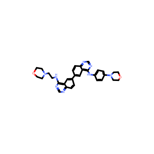 c1nc(NCCN2CCOCC2)c2cc(-c3ccc4ncnc(Nc5ccc(N6CCOCC6)cc5)c4c3)ccc2n1